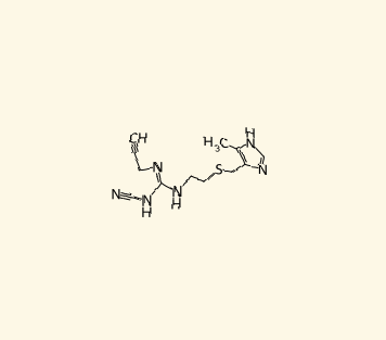 C#CCN=C(NC#N)NCCSCc1nc[nH]c1C